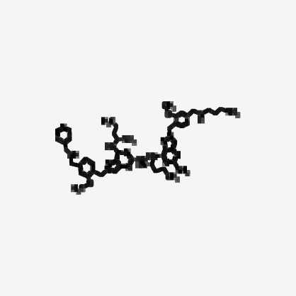 CCCC(N)Nc1nc(NNC(CCC)Nc2nc(N)nc3cn(Cc4ccc(CNCCCN)cc4OC)nc23)nc2cn(Cc3ccc(CNCc4ccncc4)cc3OC)nc12